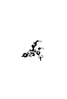 CC(=O)O[C@@H]1C[C@H](c2nc(-c3csc(CO)c3)c3cnc4c(ccn4S(=O)(=O)c4ccc(C)cc4)n23)N(C(C)=O)C1